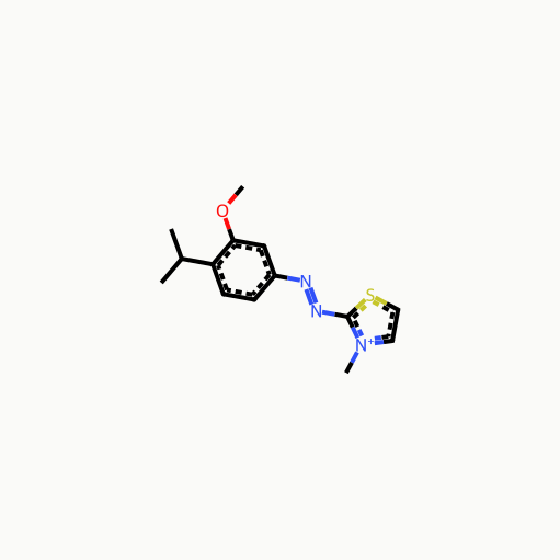 COc1cc(N=Nc2scc[n+]2C)ccc1C(C)C